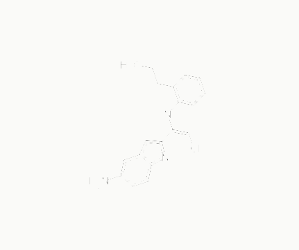 C/C=C(/Nc1ccccc1CCC)c1cc2cc(N)ccc2[nH]1